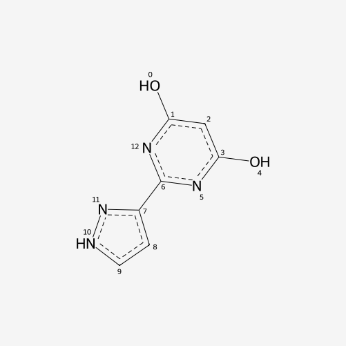 Oc1cc(O)nc(-c2cc[nH]n2)n1